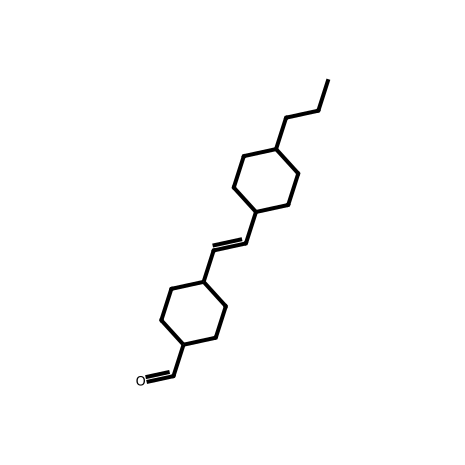 CCCC1CCC(C=CC2CCC(C=O)CC2)CC1